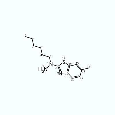 CCCCCCN(N)c1nc2ccc(C)cc2s1